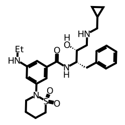 CCNc1cc(C(=O)N[C@@H](Cc2ccccc2)[C@H](O)CNCC2CC2)cc(N2CCCCS2(=O)=O)c1